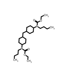 CCCCN(C(=O)OCC)C1CCC(CC2CCC(N(CCCC)C(=O)OCC)CC2)CC1